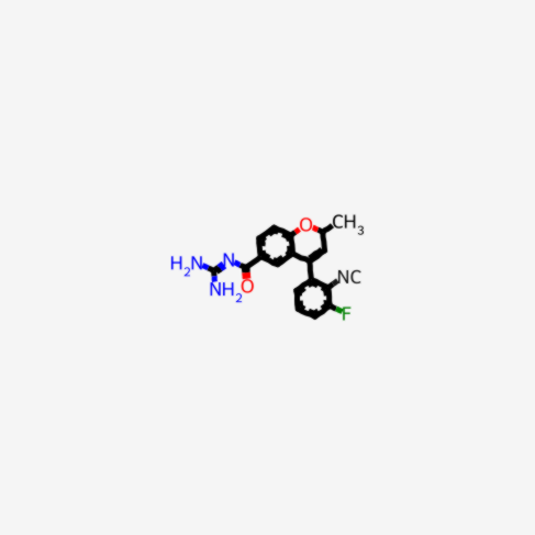 [C-]#[N+]c1c(F)cccc1C1=CC(C)Oc2ccc(C(=O)N=C(N)N)cc21